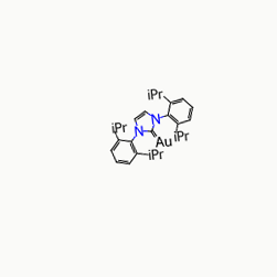 CC(C)c1cccc(C(C)C)c1-n1ccn(-c2c(C(C)C)cccc2C(C)C)[c]1=[Au]